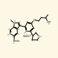 CO[C@@]1(c2cc(OCCC(C)O)cc(-c3cn(C)c4cnc(NC(C)=O)cc34)n2)CCOC1